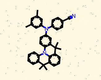 Cc1cc(C)cc(N(c2ccc(C#N)cc2)c2ccc3c(c2)C(C)(C)c2cccc4c2N3c2ccccc2C4(C)C)c1